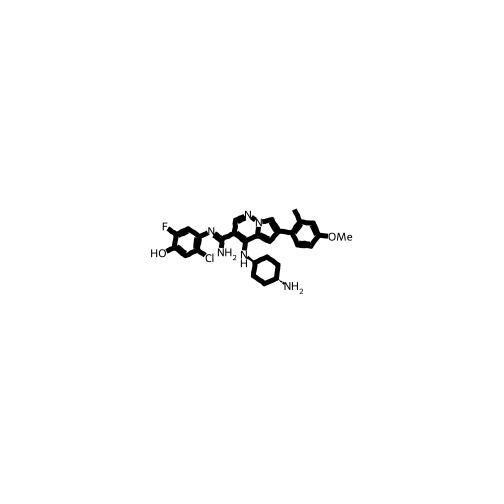 COc1ccc(-c2cc3c(N[C@H]4CC[C@H](N)CC4)c(/C(N)=N/c4cc(F)c(O)cc4Cl)cnn3c2)c(C)c1